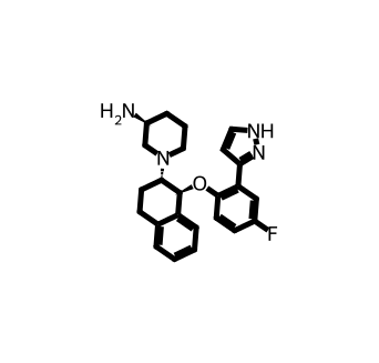 N[C@H]1CCCN([C@H]2CCc3ccccc3[C@@H]2Oc2ccc(F)cc2-c2cc[nH]n2)C1